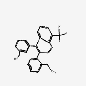 CCc1ccccc1-c1cnc2c(C(F)(F)F)cccc2c1-c1cccc(O)c1